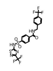 O=C(NCc1ccc(C(F)(F)F)cc1)c1ccc(S(=O)(=O)Nc2nc(C(F)(F)F)ns2)cc1